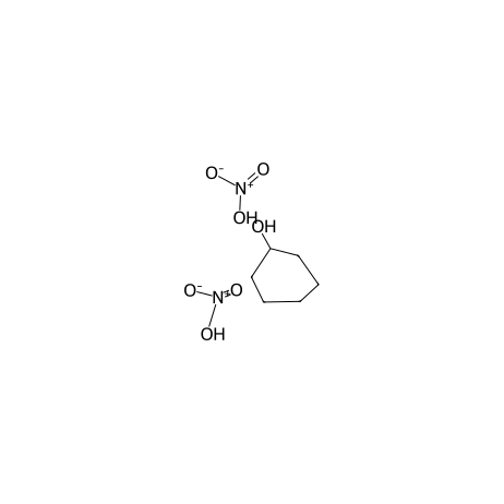 O=[N+]([O-])O.O=[N+]([O-])O.OC1CCCCC1